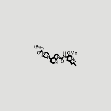 COc1cn2nc(C)cc2cc1NC(=O)N1CCc2c(N3CCN(C(=O)OC(C)(C)C)[C@@H](C)C3)ccnc21